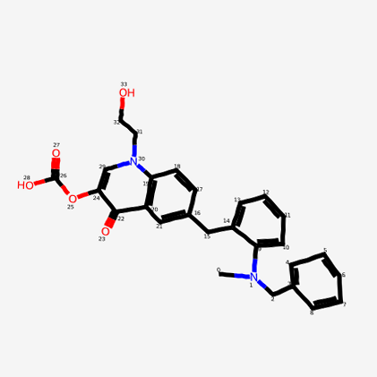 CN(Cc1ccccc1)c1ccccc1Cc1ccc2c(c1)c(=O)c(OC(=O)O)cn2CCO